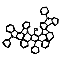 N#Cc1c(-n2c3ccccc3c3c4c5ccccc5n(-c5ccccc5)c4ccc32)c(-c2ccccc2)c(-c2ccccc2)c(-c2ccccc2)c1-n1c2ccccc2c2c3c4ccccc4n(-c4ccccc4)c3ccc21